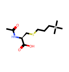 CC(=O)N[C@@H](CSCCC[Si](C)(C)C)C(=O)O